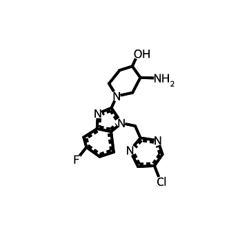 NC1CN(c2nc3cc(F)ccc3n2Cc2ncc(Cl)cn2)CCC1O